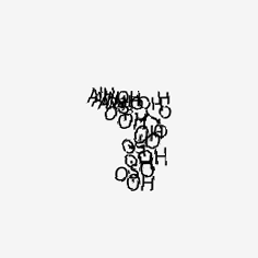 CC(O)C(=O)O.O=S(=O)(O)O.O=S(=O)(O)O.O=S(=O)(O)O.[AlH3].[AlH3].[AlH3].[NaH]